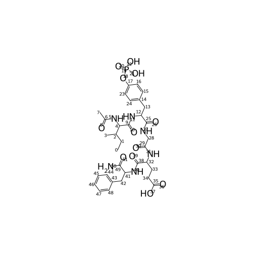 CCC(C)C(NC(C)=O)C(=O)NC(Cc1ccc(OP(=O)(O)O)cc1)C(=O)NCC(=O)NC(CCC(=O)O)C(=O)NC(Cc1ccccc1)C(N)=O